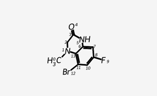 CN1CC(=O)Nc2cc(F)cc(Br)c21